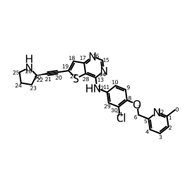 Cc1cccc(COc2ccc(Nc3ncnc4cc(C#C[C@H]5CCCN5)sc34)cc2Cl)n1